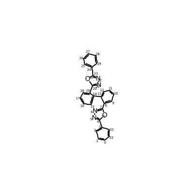 c1ccc(-c2nnc(-c3ccccc3-c3ccccc3-c3nnc(-c4ccccc4)o3)o2)cc1